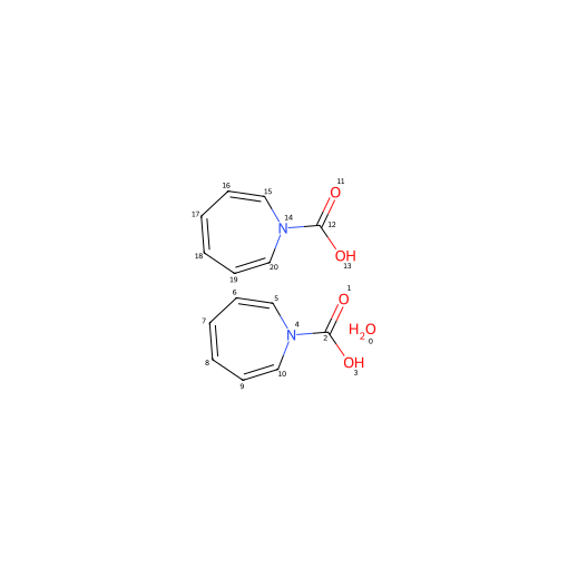 O.O=C(O)N1C=CC=CC=C1.O=C(O)N1C=CC=CC=C1